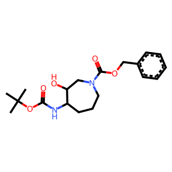 CC(C)(C)OC(=O)NC1CCCN(C(=O)OCc2ccccc2)CC1O